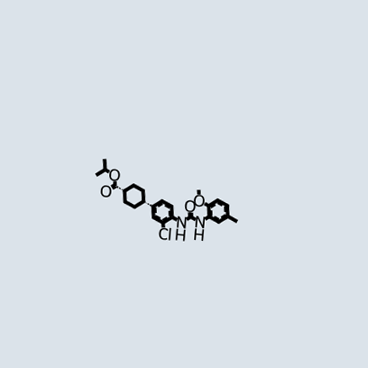 COc1ccc(C)cc1NC(=O)Nc1ccc([C@H]2CC[C@@H](C(=O)OC(C)C)CC2)cc1Cl